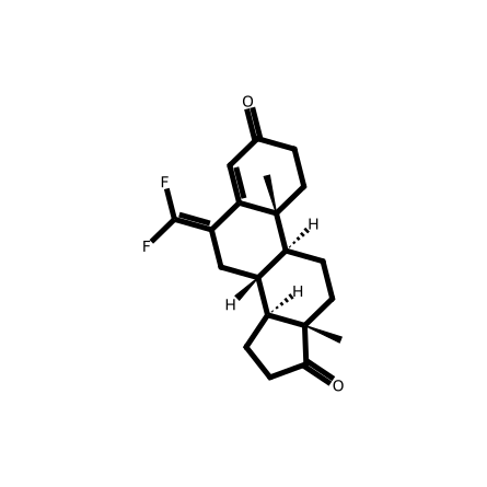 C[C@]12CCC(=O)C=C1C(=C(F)F)C[C@@H]1[C@@H]2CC[C@]2(C)C(=O)CC[C@@H]12